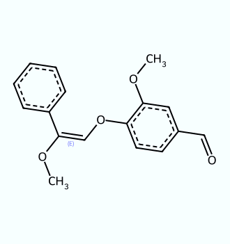 CO/C(=C/Oc1ccc(C=O)cc1OC)c1ccccc1